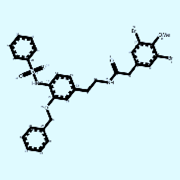 COc1c(Br)cc(CC(=O)NCCc2ccc(NS(=O)(=O)c3ccccc3)c(OCc3ccccc3)c2)cc1Br